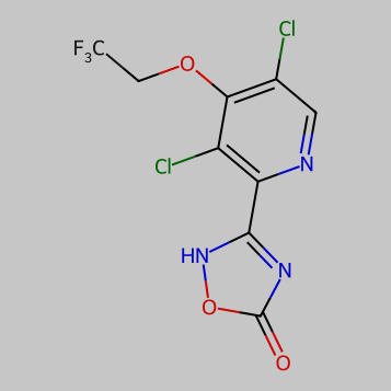 O=c1nc(-c2ncc(Cl)c(OCC(F)(F)F)c2Cl)[nH]o1